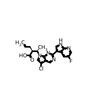 C=CC[C@H](C(=O)O)[C@H](C)n1cc(Cl)c2cnc(-c3c[nH]c4ncc(F)cc34)nc21